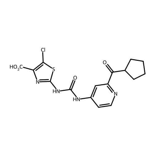 O=C(Nc1ccnc(C(=O)C2CCCC2)c1)Nc1nc(C(=O)O)c(Cl)s1